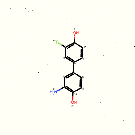 Nc1cc(-c2ccc(O)c(F)c2)ccc1O